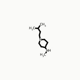 CNC1CCN(CCC(C)C)CC1